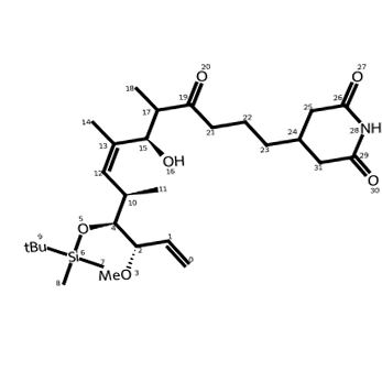 C=C[C@H](OC)[C@@H](O[Si](C)(C)C(C)(C)C)[C@H](C)/C=C(/C)[C@H](O)C(C)C(=O)CCCC1CC(=O)NC(=O)C1